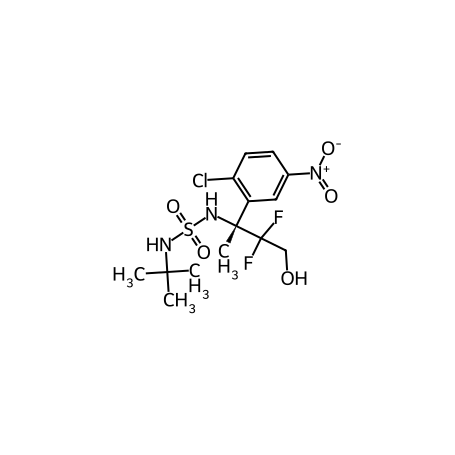 CC(C)(C)NS(=O)(=O)N[C@](C)(c1cc([N+](=O)[O-])ccc1Cl)C(F)(F)CO